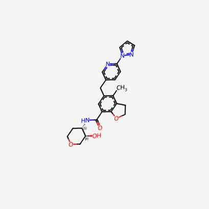 Cc1c(Cc2ccc(-n3cccn3)nc2)cc(C(=O)N[C@H]2CCOC[C@@H]2O)c2c1CCO2